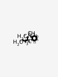 C=C/C=C\C(=C)N(C)c1ccccc1C